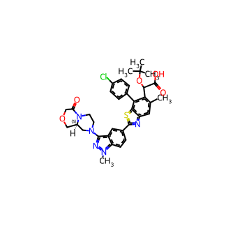 Cc1cc2nc(-c3ccc4c(c3)c(N3CCN5C(=O)COC[C@@H]5C3)nn4C)sc2c(-c2ccc(Cl)cc2)c1C(OC(C)(C)C)C(=O)O